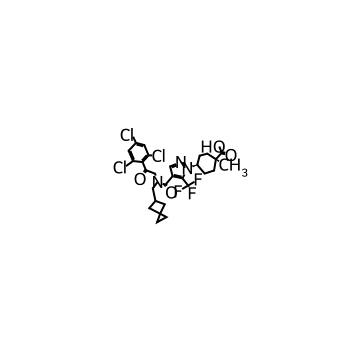 C[C@]1(C(=O)O)CC[C@H](n2ncc(C(=O)N(CC(=O)c3c(Cl)cc(Cl)cc3Cl)CC3CC4(CC4)C3)c2C(F)(F)F)CC1